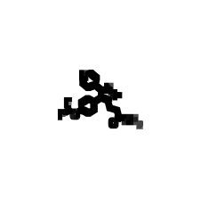 Cn1nc(-c2ccncc2)c(-c2ccc(OC(F)F)cc2)c1CCC(N)=O